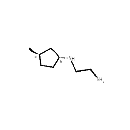 C[C@@H]1CC[C@@H](NCCN)C1